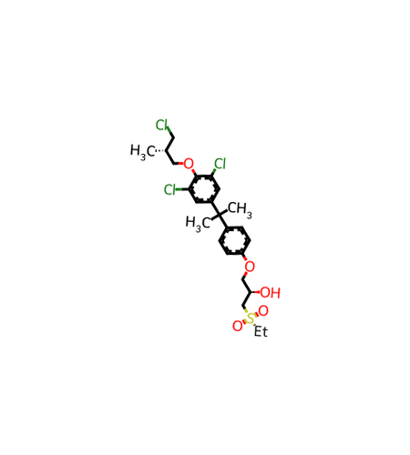 CCS(=O)(=O)C[C@H](O)COc1ccc(C(C)(C)c2cc(Cl)c(OC[C@H](C)CCl)c(Cl)c2)cc1